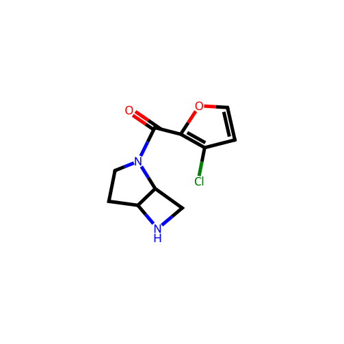 O=C(c1occc1Cl)N1CCC2NCC21